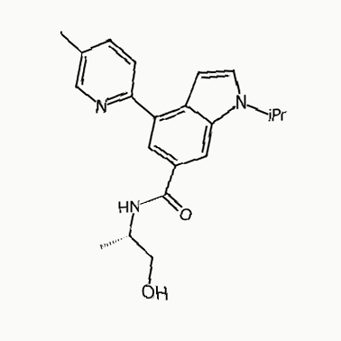 Cc1ccc(-c2cc(C(=O)N[C@@H](C)CO)cc3c2ccn3C(C)C)nc1